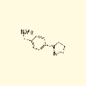 CNCc1ccc(N2CCC=N2)cc1